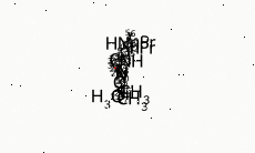 CCCC1(CCC)C(=C2CC2)Nc2cc3c4c([nH]c3cc21)-c1nn(COCC[Si](C)(C)C)cc1CCC4